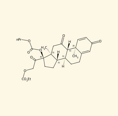 CCCOC(=O)O[C@]1(C(=O)COC(=O)OCC)CC[C@H]2[C@@H]3CCC4=CC(=O)C=C[C@]4(C)[C@H]3C(=O)C[C@@]21C